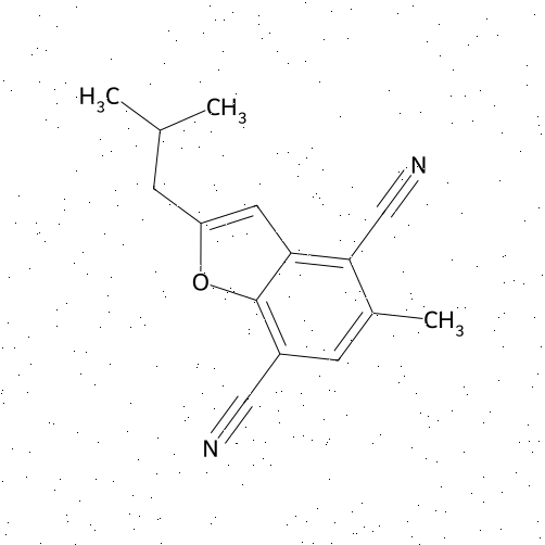 Cc1cc(C#N)c2oc(CC(C)C)cc2c1C#N